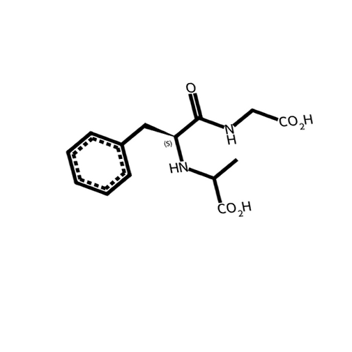 CC(N[C@@H](Cc1ccccc1)C(=O)NCC(=O)O)C(=O)O